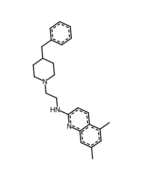 Cc1cc(C)c2ccc(NCCN3CCC(Cc4ccccc4)CC3)nc2c1